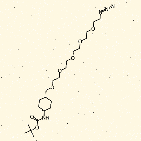 CC(C)(C)OC(=O)N[C@H]1CC[C@H](COCCOCCOCCOCCOCCN=[N+]=[N-])CC1